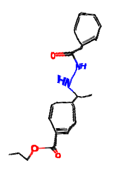 CCOC(=O)c1ccc(C(C)NNC(=O)c2ccccc2)cc1